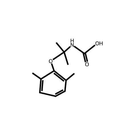 Cc1cccc(C)c1OC(C)(C)NC(=O)O